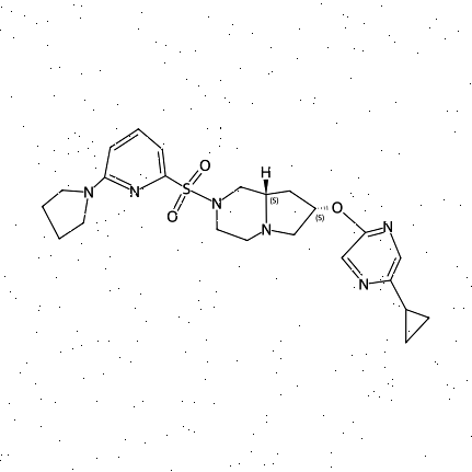 O=S(=O)(c1cccc(N2CCCC2)n1)N1CCN2C[C@@H](Oc3cnc(C4CC4)cn3)C[C@H]2C1